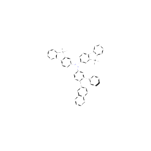 CC1(C)c2ccccc2-c2ccc(N(c3ccc(-c4ccc5ccccc5c4)c(-c4cc#ccc4)c3)c3ccc4c(c3)C(C)(C)c3ccccc3-4)cc21